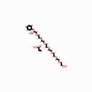 C=CC(=O)O.OCCOCCOCCOCCOCCOCCOCCOCC(O)Oc1ccccc1